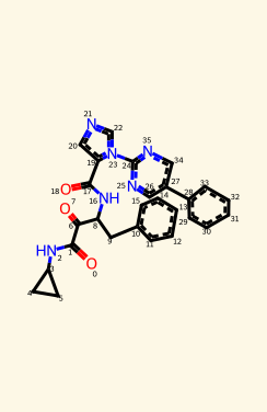 O=C(NC1CC1)C(=O)C(Cc1ccccc1)NC(=O)c1cncn1-c1ncc(-c2ccccc2)cn1